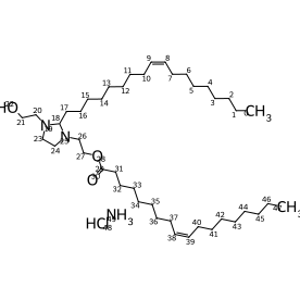 CCCCCCCC/C=C\CCCCCCCCC1N(CCO)CCN1CCOC(=O)CCCCCCC/C=C\CCCCCCCC.Cl.N